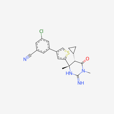 CN1C(=N)N[C@](C)(c2cc(-c3cc(Cl)cc(C#N)c3)cs2)[C@H](C2CC2)C1=O